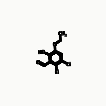 CCOc1cc(Cl)c(Cl)c(C=O)c1O